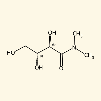 CN(C)C(=O)[C@H](O)[C@H](O)CO